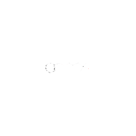 CC(C)(O)CCCOCc1ccccc1